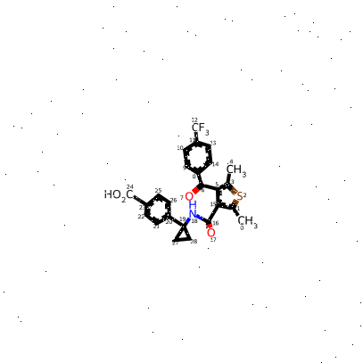 Cc1sc(C)c(C(=O)c2ccc(C(F)(F)F)cc2)c1C(=O)NC1(c2ccc(C(=O)O)cc2)CC1